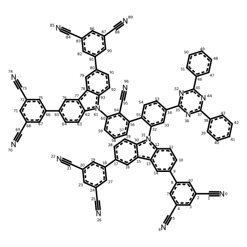 N#Cc1cc(C#N)cc(-c2ccc3c(c2)c2cc(-c4cc(C#N)cc(C#N)c4)ccc2n3-c2cc(-c3nc(-c4ccccc4)nc(-c4ccccc4)n3)ccc2-c2cccc(-n3c4ccc(-c5cc(C#N)cc(C#N)c5)cc4c4cc(-c5cc(C#N)cc(C#N)c5)ccc43)c2C#N)c1